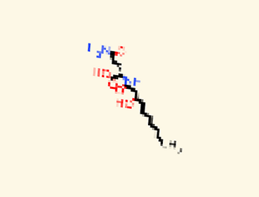 CCCCCCC[C@@H](O)CC(=O)N[C@@H](CCC(N)=O)C(=O)O